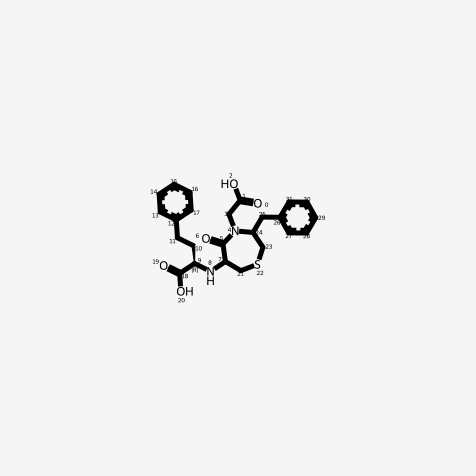 O=C(O)CN1C(=O)C(N[C@H](CCc2ccccc2)C(=O)O)CSCC1Cc1ccccc1